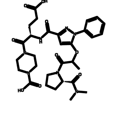 CC(Oc1cc(C(=O)N[C@@H](CCC(=O)O)C(=O)N2CCN(C(=O)O)CC2)nn1-c1ccccc1)C(=O)N1CCC[C@H]1C(=O)N(C)C